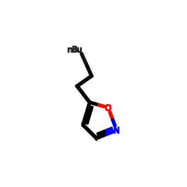 CCCCCCc1c[c]no1